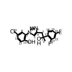 CC(O)(Cc1cn(-c2cc(Cl)ccc2O)nn1)c1ccc(F)cc1F